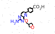 Nc1nc(OCC2CCOC2)c2nc(-c3ccc(C(=O)O)cc3)ccc2n1